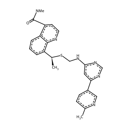 CNC(=O)c1ccnc2c([C@H](C)SCNc3cc(-c4ccc(C)nc4)ncn3)cccc12